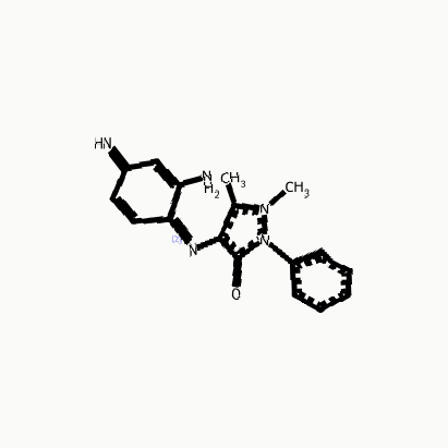 Cc1c(/N=C2/C=CC(=N)C=C2N)c(=O)n(-c2ccccc2)n1C